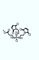 COC(=O)CCNP(=O)(NCCN1C(=O)C=CC1=O)NCCN1C(=O)C=CC1=O